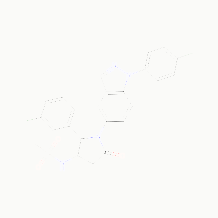 CS(=O)(=O)NC1CC(=O)N(c2ccc3c(cnn3-c3ccc(F)cc3)c2)C1c1cccc(F)c1